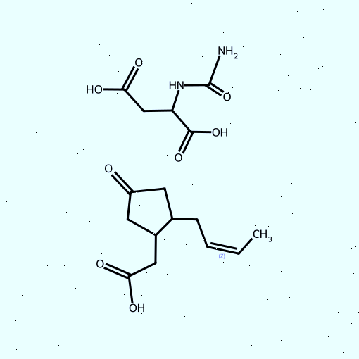 C/C=C\CC1CC(=O)CC1CC(=O)O.NC(=O)NC(CC(=O)O)C(=O)O